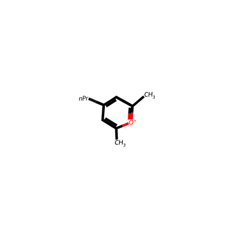 CCCc1cc(C)[o+]c(C)c1